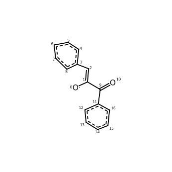 [O]C(=Cc1ccccc1)C(=O)c1ccccc1